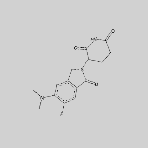 CN(C)c1cc2c(cc1F)C(=O)N(C1CCC(=O)NC1=O)C2